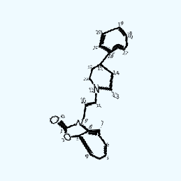 O=c1oc2ccccc2n1CCN1CCC(c2ccccc2)CC1